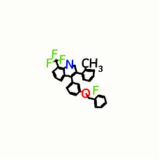 Cc1ccccc1-c1cnc2c(C(F)(F)F)cccc2c1-c1cccc(OCc2ccccc2F)c1